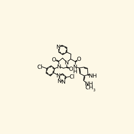 CN/C=C1/C=C(NC(=O)C(Cc2ccncc2)N2CC(=O)N(c3cc(Cl)ccc3-n3cc(Cl)nn3)CC2=O)C=CC1=N